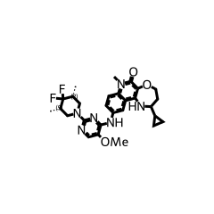 COc1cnc(N2C[C@@H](C)C(F)(F)[C@@H](C)C2)nc1Nc1ccc2c(c1)c1c(c(=O)n2C)OCCC(C2CC2)N1